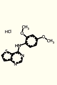 COc1ccc(Nc2ncnc3ccsc23)c(OC)c1.Cl